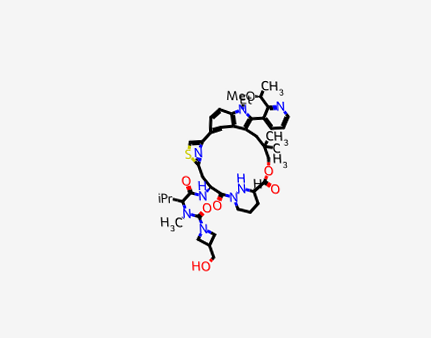 CCn1c(-c2cccnc2[C@H](C)OC)c2c3cc(ccc31)-c1csc(n1)C[C@H](NC(=O)C(C(C)C)N(C)C(=O)N1CC(CO)C1)C(=O)N1CCC[C@H](N1)C(=O)OCC(C)(C)C2